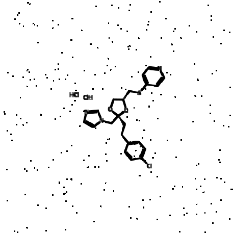 Cl.Cl.Clc1ccc(CC[C@@]2(Cn3ccnc3)OC[C@@H](CSc3ccncc3)O2)cc1